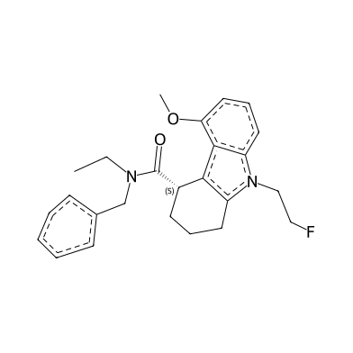 CCN(Cc1ccccc1)C(=O)[C@H]1CCCc2c1c1c(OC)cccc1n2CCF